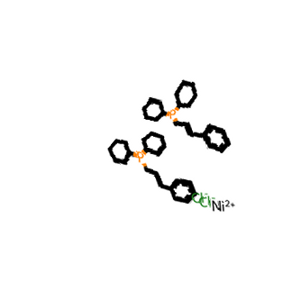 C(=Cc1ccccc1)CP(C1CCCCC1)C1CCCCC1.C(=Cc1ccccc1)CP(C1CCCCC1)C1CCCCC1.[Cl-].[Cl-].[Ni+2]